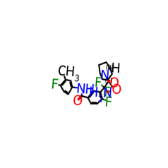 Cc1cc(NC(=O)c2ccc(F)c(C(F)(F)C(=O)N3C4CC[C@@H]3C[C@@H](C(N)=O)C4)c2)ccc1F